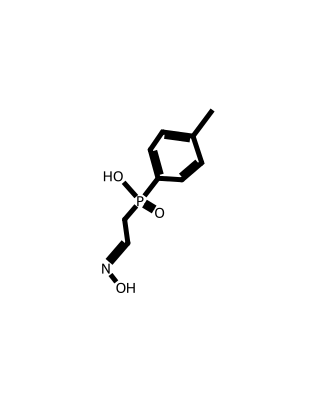 Cc1ccc(P(=O)(O)CC=NO)cc1